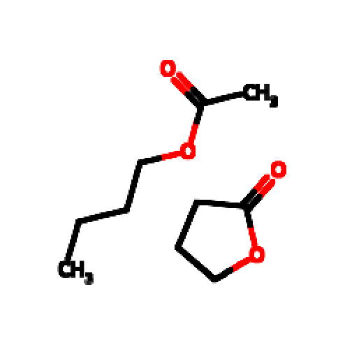 CCCCOC(C)=O.O=C1CCCO1